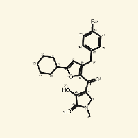 CN1CC(C(=O)c2oc(C3CCCCC3)cc2Cc2ccc(F)cc2)=C(O)C1=O